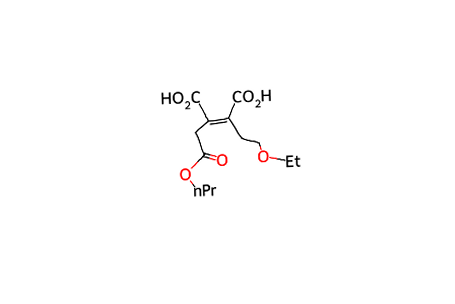 CCCOC(=O)CC(C(=O)O)=C(CCOCC)C(=O)O